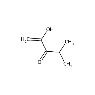 C=C(O)C(=O)C(C)C